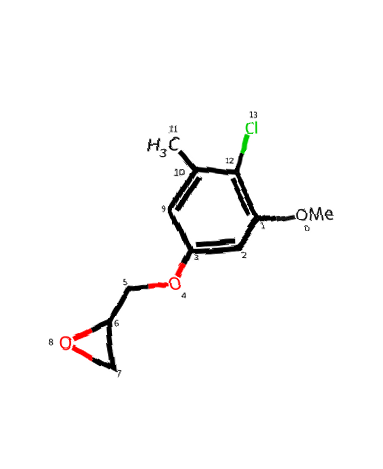 COc1cc(OCC2CO2)cc(C)c1Cl